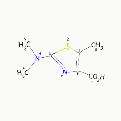 Cc1sc(N(C)C)nc1C(=O)O